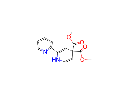 COC(=O)C1(C(=O)OC)C=CNC(c2ccccn2)=C1